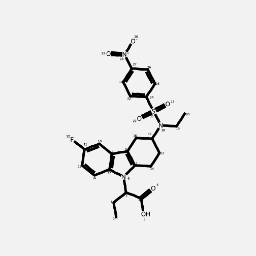 CCC(C(=O)O)n1c2c(c3cc(F)ccc31)CC(N(CC)S(=O)(=O)c1ccc([N+](=O)[O-])cc1)CC2